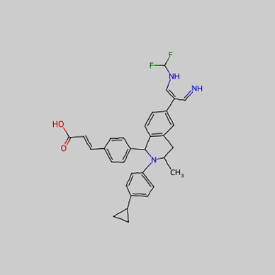 CC1Cc2cc(/C(C=N)=C/NC(F)F)ccc2C(c2ccc(/C=C/C(=O)O)cc2)N1c1ccc(C2CC2)cc1